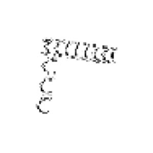 C=O.O=COC=O.O=COC=O.O=COC=O.O=COC=O.O=COC=O.O=COC=O.O=COC=O.O=COC=O.O=COC=O.O=COC=O